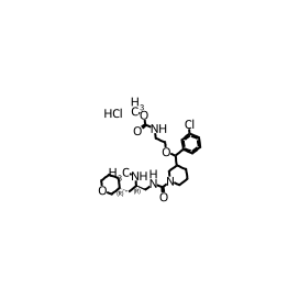 CN[C@@H](CNC(=O)N1CCCC(C(OCCNC(=O)OC)c2cccc(Cl)c2)C1)C[C@H]1CCCOC1.Cl